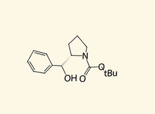 CC(C)(C)OC(=O)N1CCC[C@H]1C(O)c1ccccc1